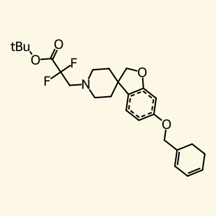 CC(C)(C)OC(=O)C(F)(F)CN1CCC2(CC1)COc1cc(OCC3=CC=CCC3)ccc12